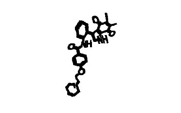 CC1=C(C)C(=O)c2c(-c3ccccc3NC(=O)c3ccc(OCCN4CCCCC4)cc3)c[nH]c2C1=O